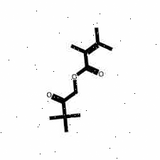 CC(C)=C(C)C(=O)OCC(=O)C(C)(C)C